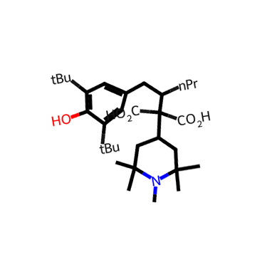 CCCC(Cc1cc(C(C)(C)C)c(O)c(C(C)(C)C)c1)C(C(=O)O)(C(=O)O)C1CC(C)(C)N(C)C(C)(C)C1